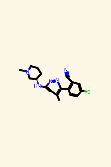 Cc1cc(N[C@@H]2CCCN(C)C2)nnc1-c1ccc(Cl)cc1C#N